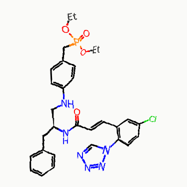 CCOP(=O)(Cc1ccc(NC[C@H](Cc2ccccc2)NC(=O)/C=C/c2cc(Cl)ccc2-n2cnnn2)cc1)OCC